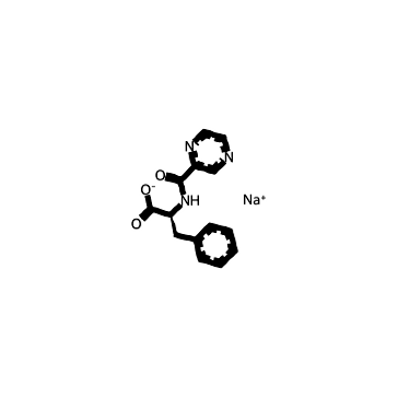 O=C(N[C@@H](Cc1ccccc1)C(=O)[O-])c1cnccn1.[Na+]